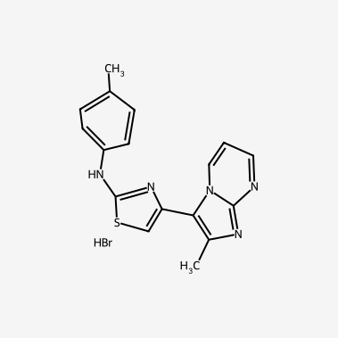 Br.Cc1ccc(Nc2nc(-c3c(C)nc4ncccn34)cs2)cc1